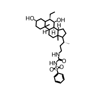 CC[C@@H]1C2C[C@H](O)CCC2(C)[C@H]2CCC3(C)C([C@H](C)CCNC(=O)NS(=O)(=O)c4ccccc4)CC[C@H]3[C@@H]2[C@@H]1O